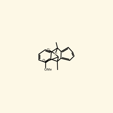 COC(=O)C1[S+]([O-])C2(C)c3ccccc3C1(C)c1ccccc12